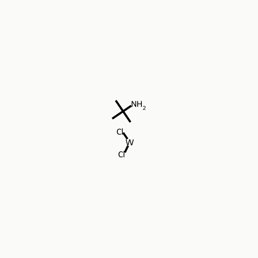 CC(C)(C)N.[Cl][W][Cl]